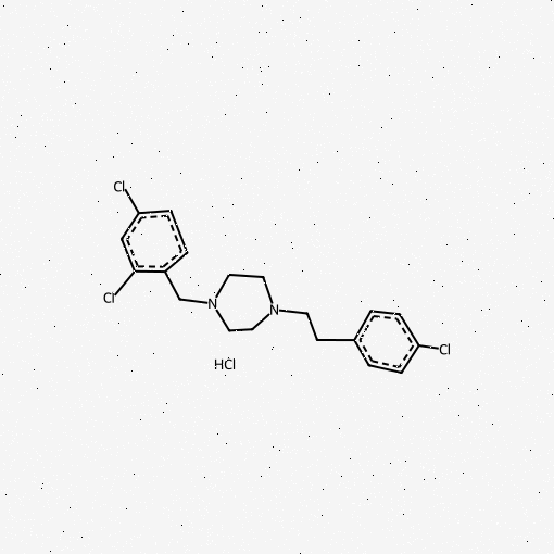 Cl.Clc1ccc(CCN2CCN(Cc3ccc(Cl)cc3Cl)CC2)cc1